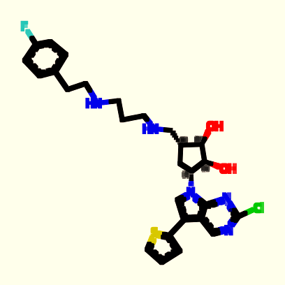 O[C@@H]1[C@@H](CNCCCNCCc2ccc(F)cc2)C[C@@H](n2cc(-c3cccs3)c3cnc(Cl)nc32)[C@@H]1O